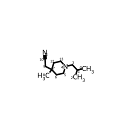 C[C](C)CN1CCC(C)(CC#N)CC1